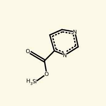 O=C(O[SiH3])c1ccncn1